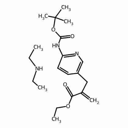 C=C(Cc1ccc(NC(=O)OC(C)(C)C)nc1)C(=O)OCC.CCNCC